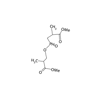 COC(=O)C(C)CO[PH](=O)CC(C)C(=O)OC